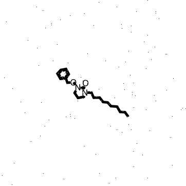 CCCCCCCCCCN1CCCN(OCc2ccccc2)C1=O